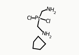 C1CCCC1.N[CH2][Pt]([Cl])([Cl])[CH2]N